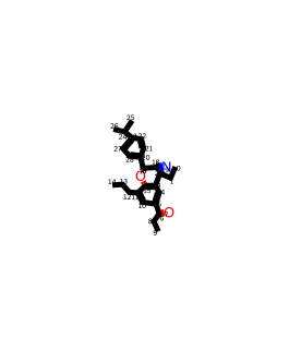 CCCc1cc(C(=O)CC)cc(CCC)c1OC(C#N)c1ccc(C(C)C)cc1